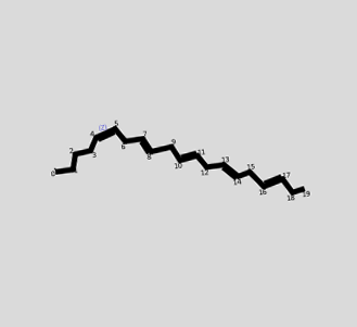 [CH2]CCC/C=C\CC=CCC=CCC=CCC=CCC